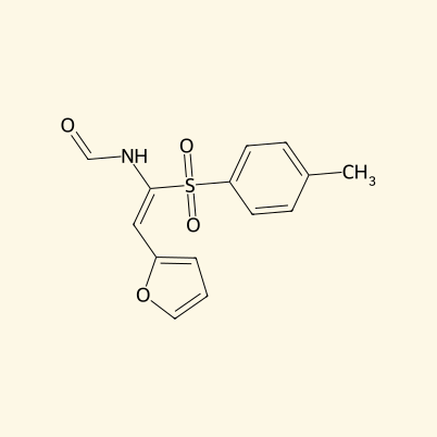 Cc1ccc(S(=O)(=O)/C(=C\c2ccco2)NC=O)cc1